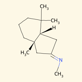 CN=C1C[C@H]2C(C)(C)CCC[C@@]2(C)C1